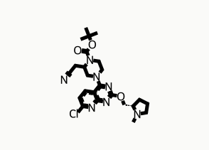 CN1CCC[C@H]1COc1nc(N2CCN(C(=O)OC(C)(C)C)C(CC#N)C2)c2ccc(Cl)nc2n1